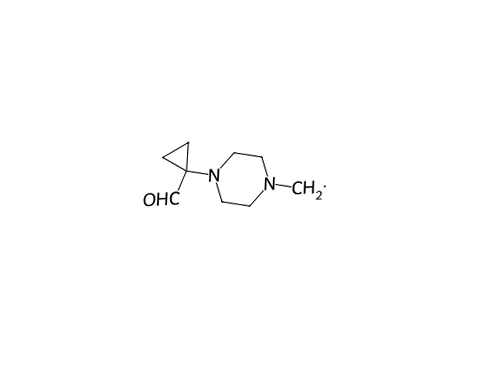 [CH2]N1CCN(C2(C=O)CC2)CC1